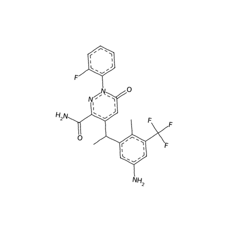 Cc1c(C(C)c2cc(=O)n(-c3ccccc3F)nc2C(N)=O)cc(N)cc1C(F)(F)F